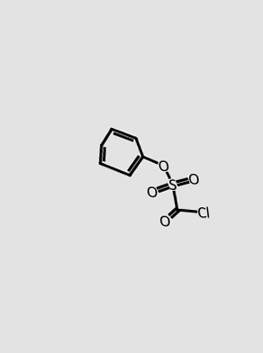 O=C(Cl)S(=O)(=O)Oc1ccccc1